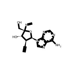 C#C[C@@H]1[C@H](n2cnc3c(N)ncnc32)O[C@@](CO)(N=C)[C@H]1O